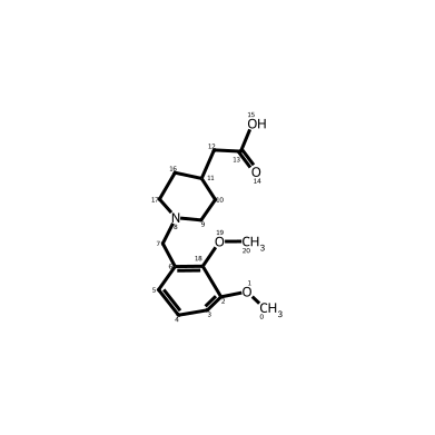 COc1cccc(CN2CCC(CC(=O)O)CC2)c1OC